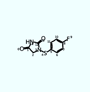 O=C1CN(Sc2ccc(F)cc2)C(=O)N1